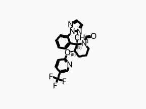 C[C@]1(c2ccccc2-n2nccn2)[C@H](Oc2ccc(C(F)(F)F)cn2)CCCN1C=O